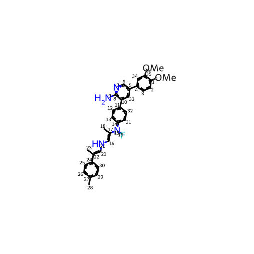 COc1ccc(-c2cnc(N)c(-c3ccc(N(F)/C(C)=C/N/C=C(\C)c4ccc(C)cc4)cc3)c2)cc1OC